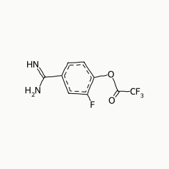 N=C(N)c1ccc(OC(=O)C(F)(F)F)c(F)c1